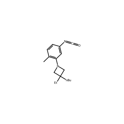 CCCCC1(CC)CN(c2cc(N=C=O)ccc2C)C1